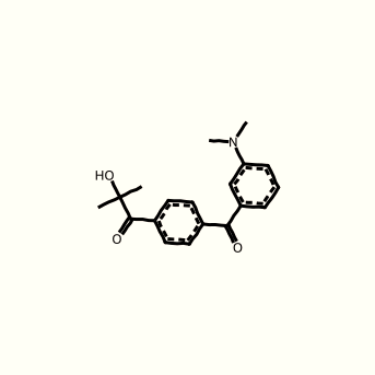 CN(C)c1cccc(C(=O)c2ccc(C(=O)C(C)(C)O)cc2)c1